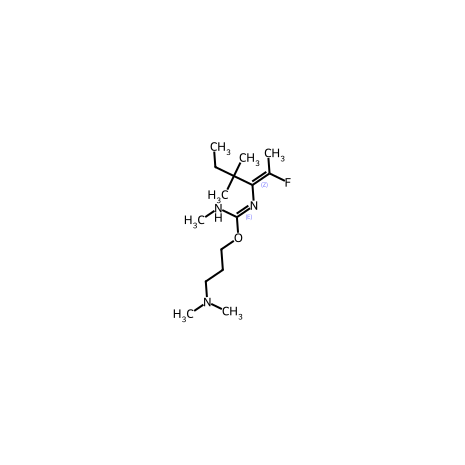 CCC(C)(C)C(/N=C(\NC)OCCCN(C)C)=C(\C)F